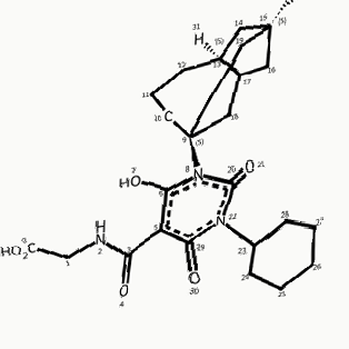 O=C(O)CNC(=O)c1c(O)n([C@]23CCC[C@H]4C[C@@H](CC4C2)C3)c(=O)n(C2CCCCC2)c1=O